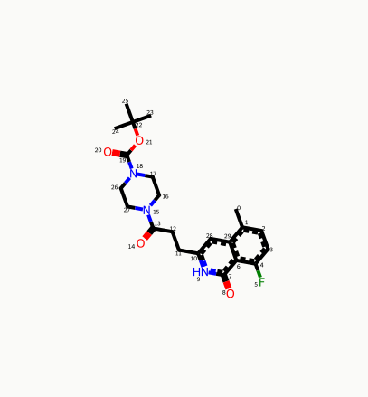 Cc1ccc(F)c2c(=O)[nH]c(CCC(=O)N3CCN(C(=O)OC(C)(C)C)CC3)cc12